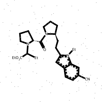 CCOC(=O)C(CC)N1CCC[C@@H]1C(=O)N1CCC[C@H]1CCc1cc2ccc(C#N)cc2n1CC